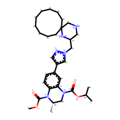 COC(=O)N1c2ccc(-c3cnn(CC4CNCC5(CCCCCCCCC5)N4)c3)cc2N(C(=O)OC(C)C)C[C@@H]1C